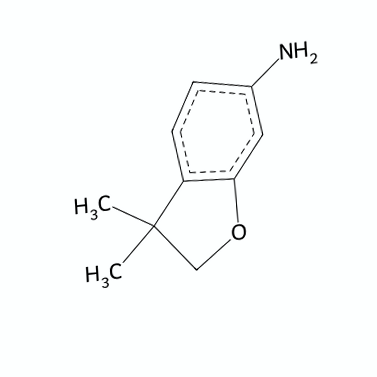 CC1(C)COc2cc(N)ccc21